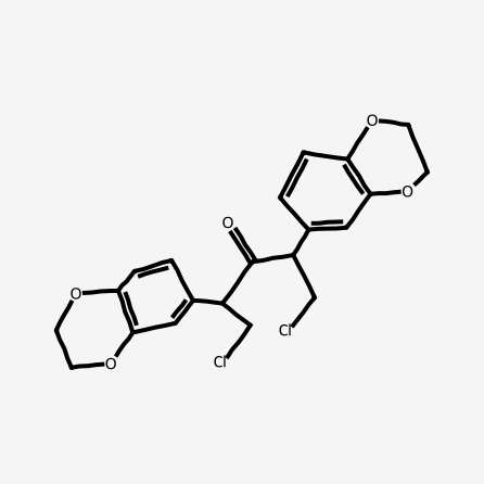 O=C(C(CCl)c1ccc2c(c1)OCCO2)C(CCl)c1ccc2c(c1)OCCO2